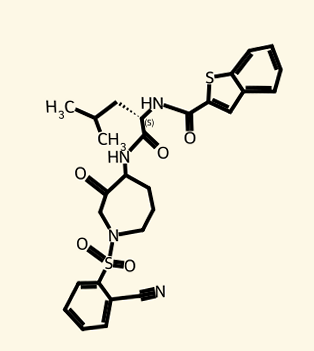 CC(C)C[C@H](NC(=O)c1cc2ccccc2s1)C(=O)NC1CCCN(S(=O)(=O)c2ccccc2C#N)CC1=O